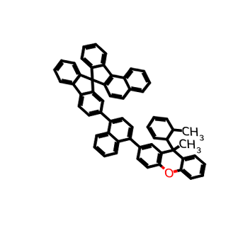 CC1C=CC=CC1C1(C)c2ccccc2Oc2ccc(-c3ccc(-c4ccc5c(c4)C4(c6ccccc6-5)c5ccccc5-c5c4ccc4ccccc54)c4ccccc34)cc21